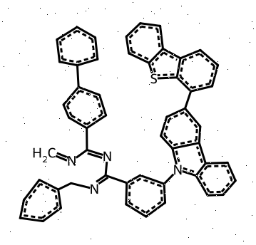 C=N/C(=N\C(=N/Cc1ccccc1)c1cccc(-n2c3ccccc3c3cc(-c4cccc5c4sc4ccccc45)ccc32)c1)c1ccc(-c2ccccc2)cc1